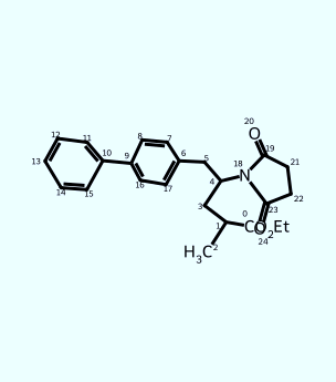 CCOC(=O)C(C)CC(Cc1ccc(-c2ccccc2)cc1)N1C(=O)CCC1=O